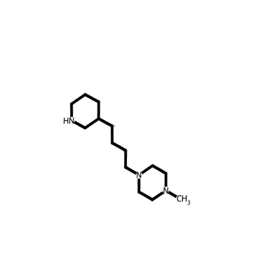 CN1CCN(CCC[CH]C2CCCNC2)CC1